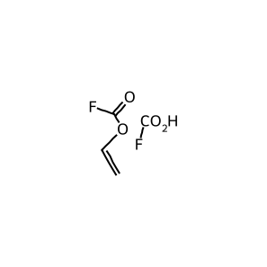 C=COC(=O)F.O=C(O)F